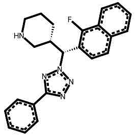 Fc1c([C@@H]([C@H]2CCCNC2)n2nnc(-c3ccccc3)n2)ccc2ccccc12